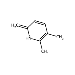 C=C1C=CC(C)=C(C)N1